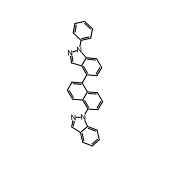 c1ccc(-n2ncc3c(-c4cccc5c(-n6ncc7ccccc76)cccc45)cccc32)cc1